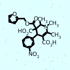 CC1=C(C(=O)O)C(c2cccc([N+](=O)[O-])c2)C(C(=O)O)(C(=O)OCc2ccco2)C(C)N1C